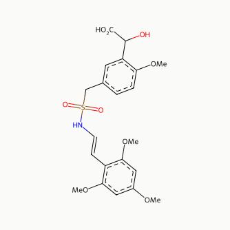 COc1cc(OC)c(/C=C/NS(=O)(=O)Cc2ccc(OC)c(C(O)C(=O)O)c2)c(OC)c1